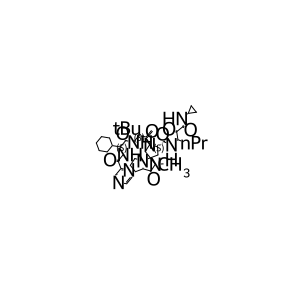 CCCC(NC(=O)[C@@H]1CC2(CN1C(=O)[C@@H](NC(=O)[C@@H](NC(=O)c1cnccn1)C1CCCCC1)C(C)(C)C)N(C)C(=O)C1CCCN12)C(=O)C(=O)NC1CC1